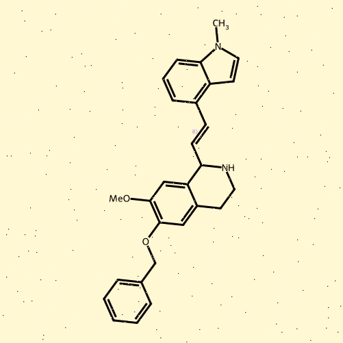 COc1cc2c(cc1OCc1ccccc1)CCNC2/C=C/c1cccc2c1ccn2C